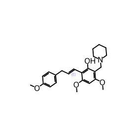 COc1ccc(C/C=C/c2c(OC)cc(OC)c(CN3CCCCC3)c2O)cc1